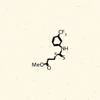 COC(=O)CCSC(=S)Nc1cccc(C(F)(F)F)c1